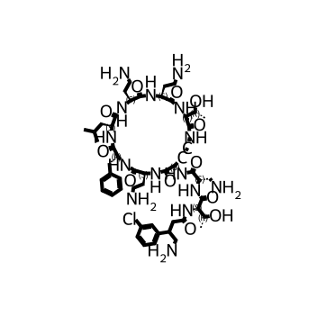 CC(C)C[C@@H]1NC(=O)[C@@H](Cc2ccccc2)NC(=O)[C@H](CCN)NC(=O)[C@@H](NC(=O)[C@H](CN)NC(=O)[C@@H](NC(=O)CC(CN)c2cccc(Cl)c2)[C@@H](C)O)CCNC(=O)[C@H]([C@@H](C)O)NC(=O)[C@H](CCN)NC(=O)[C@H](CCN)NC1=O